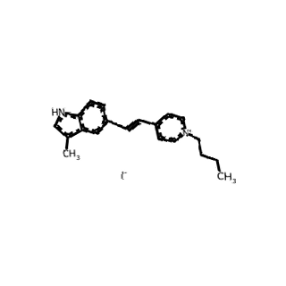 CCCC[n+]1ccc(/C=C/c2ccc3[nH]cc(C)c3c2)cc1.[I-]